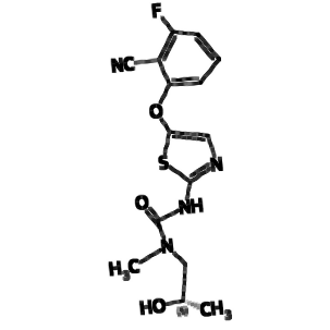 C[C@H](O)CN(C)C(=O)Nc1ncc(Oc2cccc(F)c2C#N)s1